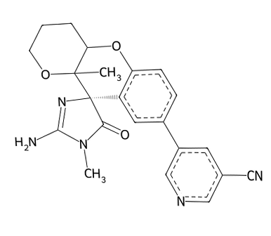 CN1C(=O)[C@]2(N=C1N)c1cc(-c3cncc(C#N)c3)ccc1OC1CCCOC12C